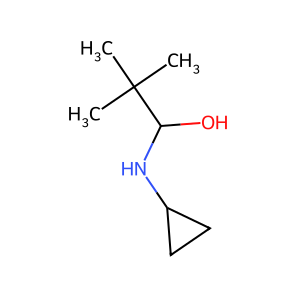 CC(C)(C)C(O)NC1CC1